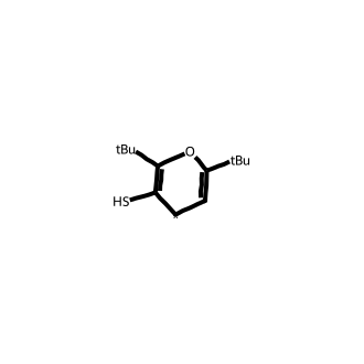 CC(C)(C)C1=C[C]C(S)=C(C(C)(C)C)O1